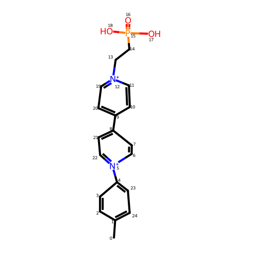 Cc1ccc(-[n+]2ccc(-c3cc[n+](CCP(=O)(O)O)cc3)cc2)cc1